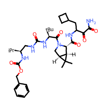 CC(C)[C@@H](CNC(=O)N[C@H](C(=O)N1C[C@H]2[C@@H]([C@H]1C(=O)NC(CC1CCC1)C(=O)C(N)=O)C2(C)C)C(C)(C)C)NC(=O)OCc1ccccc1